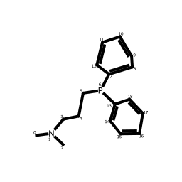 CN(C)CCCP(c1ccccc1)c1ccccc1